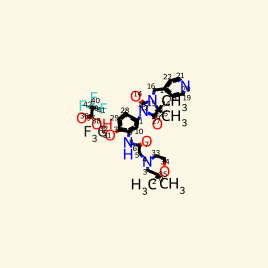 CC1(C)CN(CC(=O)Nc2cc(N3C(=O)N(Cc4ccncc4)C(C)(C)C3=O)ccc2OC(F)(F)F)CCO1.O=C(O)C(F)(F)F